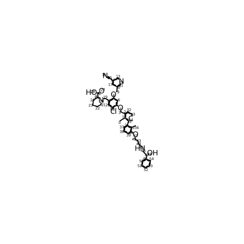 Cc1c(COc2cc(OCc3cncc(C#N)c3)c(CN3CCCC[C@H]3C(=O)O)cc2Cl)cccc1-c1cccc(OCCCNCC(O)c2ccccc2)c1C